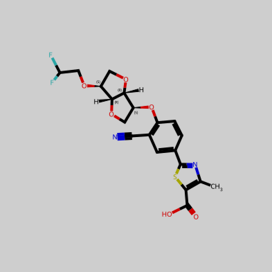 Cc1nc(-c2ccc(O[C@H]3CO[C@H]4[C@@H]3OC[C@@H]4OCC(F)F)c(C#N)c2)sc1C(=O)O